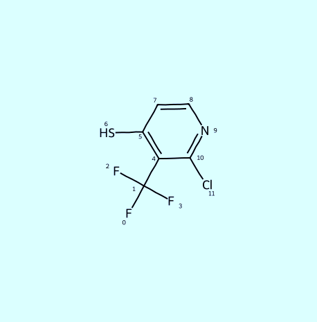 FC(F)(F)c1c(S)ccnc1Cl